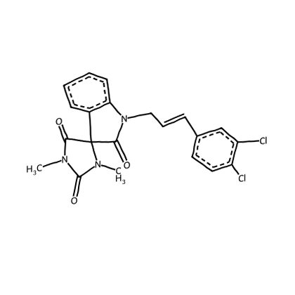 CN1C(=O)N(C)C2(C1=O)C(=O)N(C/C=C/c1ccc(Cl)c(Cl)c1)c1ccccc12